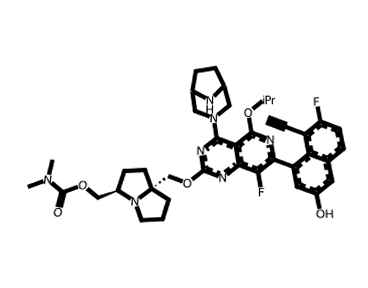 C#Cc1c(F)ccc2cc(O)cc(-c3nc(OC(C)C)c4c(N5CC6CCC(C5)N6)nc(OC[C@]56CCCN5[C@@H](COC(=O)N(C)C)CC6)nc4c3F)c12